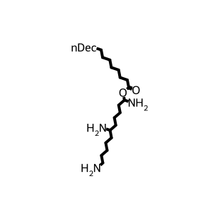 CCCCCCCCCCCCCCCCCC(=O)OC(N)CCCCC(N)CCCCCN